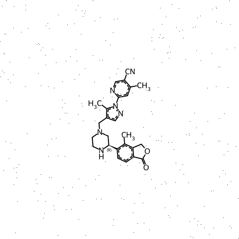 Cc1cc(-n2ncc(CN3CCN[C@H](c4ccc5c(c4C)COC5=O)C3)c2C)ncc1C#N